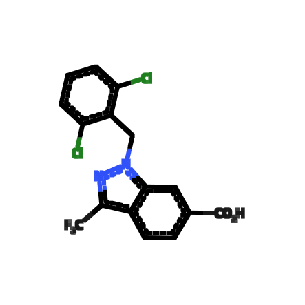 O=C(O)c1ccc2c(C(F)(F)F)nn(Cc3c(Cl)cccc3Cl)c2c1